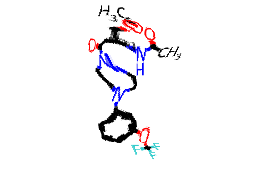 COC[C@@H](NC(C)=O)C(=O)N1CCN(c2cccc(OC(F)(F)F)c2)CC1